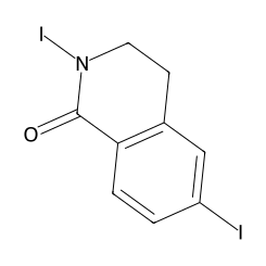 O=C1c2ccc(I)cc2CCN1I